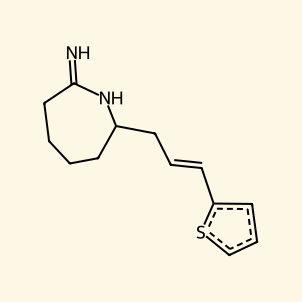 N=C1CCCCC(CC=Cc2cccs2)N1